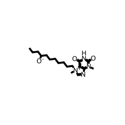 CCCC([O-])CCCCCCC[N+]1(C)C=Nc2c1c(=O)[nH]c(=O)n2C